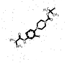 CC(C)[C@@H](N)C(=O)Nc1ccc(N2CCN(C(=O)OC(C)(C)I)CC2)c(F)c1